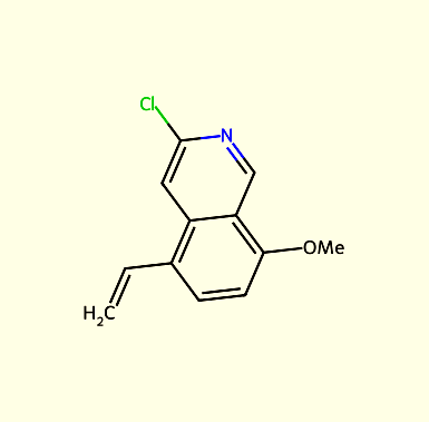 C=Cc1ccc(OC)c2cnc(Cl)cc12